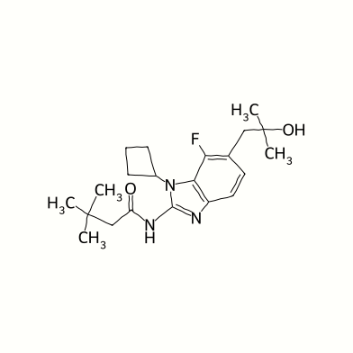 CC(C)(C)CC(=O)Nc1nc2ccc(CC(C)(C)O)c(F)c2n1C1CCC1